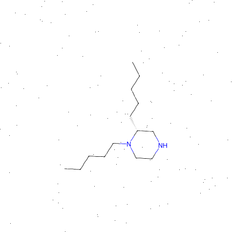 CCCCC[C@@H]1CNCCN1CCCCC